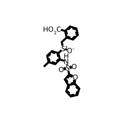 Cc1ccc([S+]([O-])Cc2ccccc2C(=O)O)c(NS(=O)(=O)c2cc3ccccc3o2)c1